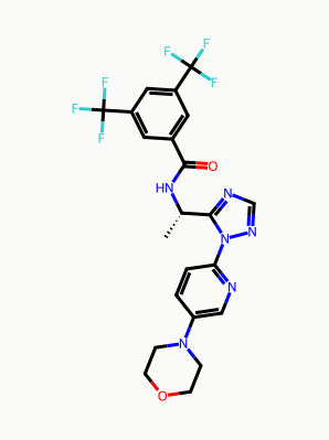 C[C@H](NC(=O)c1cc(C(F)(F)F)cc(C(F)(F)F)c1)c1ncnn1-c1ccc(N2CCOCC2)cn1